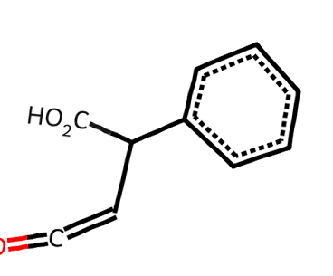 O=C=CC(C(=O)O)c1ccccc1